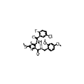 COc1ccc(CNC(=O)c2nc(SC)sc2NC(=O)c2cc(Cl)ccc2F)c(OC)c1